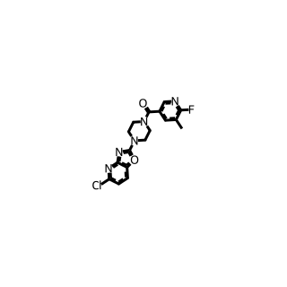 Cc1cc(C(=O)N2CCN(c3nc4nc(Cl)ccc4o3)CC2)cnc1F